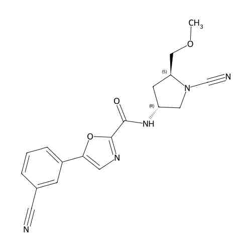 COC[C@@H]1C[C@@H](NC(=O)c2ncc(-c3cccc(C#N)c3)o2)CN1C#N